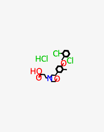 Cc1cc(C2CN(CCC(=O)O)CCO2)ccc1OCc1c(Cl)cccc1Cl.Cl